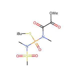 CCC(C)SP(=O)(N(C)C(=O)C(=O)OC)N(C)S(C)(=O)=O